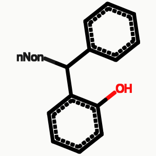 CCCCCCCCCC(c1ccccc1)c1ccccc1O